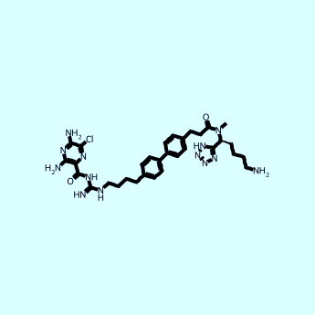 CN(C(=O)CCc1ccc(-c2ccc(CCCCNC(=N)NC(=O)c3nc(Cl)c(N)nc3N)cc2)cc1)[C@@H](CCCCN)c1nnn[nH]1